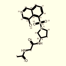 CC(=O)NCC(=O)N[C@@H]1CCN(S(=O)(=O)c2cccc3cncc(Cl)c23)C1